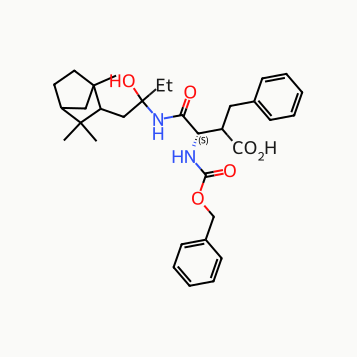 CCC(O)(CC1C2(C)CCC(C2)C1(C)C)NC(=O)[C@@H](NC(=O)OCc1ccccc1)C(Cc1ccccc1)C(=O)O